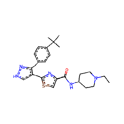 CCN1CCC(NC(=O)c2csc(-c3c[nH]nc3-c3ccc(C(C)(C)C)cc3)n2)CC1